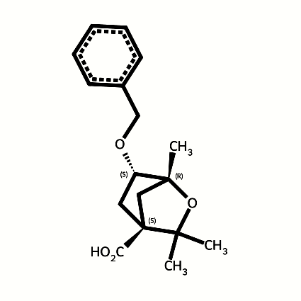 CC1(C)O[C@]2(C)C[C@@]1(C(=O)O)C[C@@H]2OCc1ccccc1